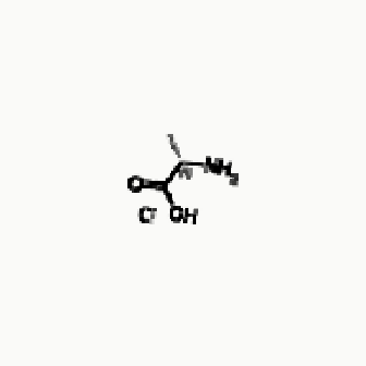 C[C@H](N)C(=O)O.[C]